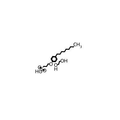 CCCCCCCCCc1ccc(OCCCS(=O)(=O)O)cc1.OCCO